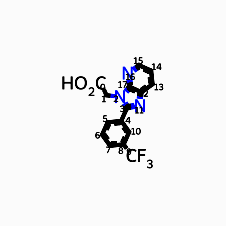 O=C(O)Cn1c(-c2cccc(C(F)(F)F)c2)nc2cccnc21